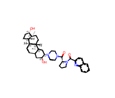 C[C@]12CC[C@H]3[C@@H](CCC4C[C@H](O)[C@@H](N5CCN(C(=O)[C@@H]6CCCN6C(=O)c6ccc7ccccc7n6)CC5)C[C@@]43C)[C@@H]1CC[C@@H]2O